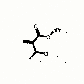 C=C(C(=O)OCCC)C(C)Cl